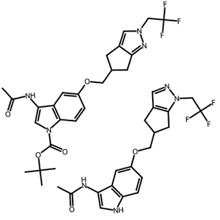 CC(=O)Nc1c[nH]c2ccc(OCC3Cc4cnn(CC(F)(F)F)c4C3)cc12.CC(=O)Nc1cn(C(=O)OC(C)(C)C)c2ccc(OCC3Cc4cn(CC(F)(F)F)nc4C3)cc12